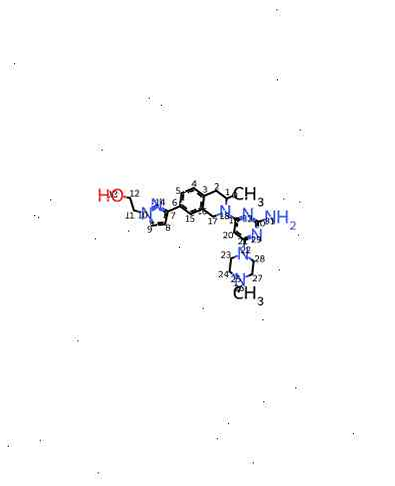 CC1Cc2ccc(-c3ccn(CCO)n3)cc2CN1c1cc(N2CCN(C)CC2)nc(N)n1